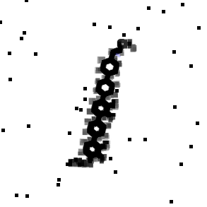 C/C=C/C1CCC(C2CCC(c3ccc(-c4ccc(-c5ccc(CCCCCCCCC)c(F)c5F)cc4)c(F)c3F)CC2)CC1